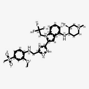 COc1cc(S(C)(=O)=O)ccc1NCc1nc(-c2cc3c(N[C@@H]4CCN(C)C[C@@H]4F)cccc3n2CC(F)(F)F)no1